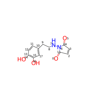 O=C1C=CC(=O)N1NCCc1ccc(O)c(O)c1